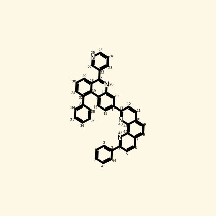 c1ccc(-c2ccc3ccc4ccc(-c5ccc6c(c5)nc(-c5cccnc5)c5cccc(-c7ccccc7)c56)nc4c3n2)cc1